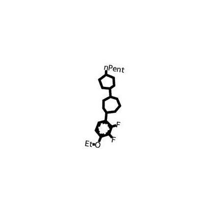 CCCCCC1CCC(C2CCCC(c3ccc(OCC)c(F)c3F)CC2)CC1